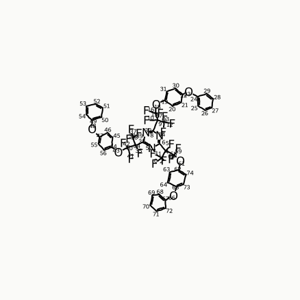 FC(F)(F)C(F)(c1nc(C(F)(C(F)(F)F)C(F)(F)Oc2ccc(Oc3ccccc3)cc2)nc(C(F)(C(F)(F)F)C(F)(F)Oc2ccc(Oc3ccccc3)cc2)n1)C(F)(F)Oc1ccc(Oc2ccccc2)cc1